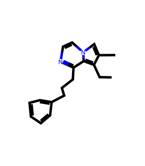 CCc1c(C)cn2ccnc(CCCc3ccccc3)c12